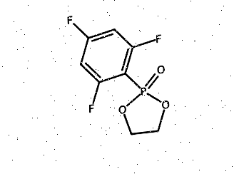 O=P1(c2c(F)cc(F)cc2F)OCCO1